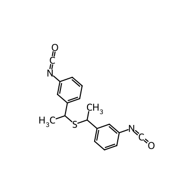 CC(SC(C)c1cccc(N=C=O)c1)c1cccc(N=C=O)c1